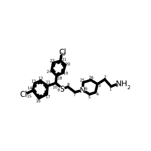 NCCC1CCN(CCSC(c2ccc(Cl)cc2)c2ccc(Cl)cc2)CC1